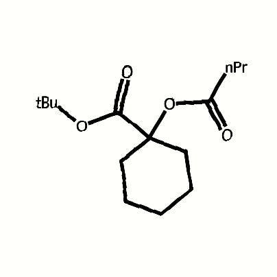 CCCC(=O)OC1(C(=O)OC(C)(C)C)CCCCC1